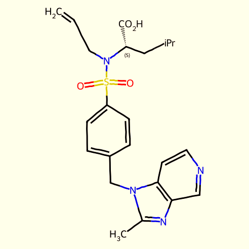 C=CCN([C@@H](CC(C)C)C(=O)O)S(=O)(=O)c1ccc(Cn2c(C)nc3cnccc32)cc1